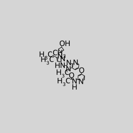 CC(=O)Nc1cc(Oc2cnc3nc(Nc4cc(C(C)(C)C)n([C@H]5C[C@@H](O)C5)n4)n(C)c3c2)ccn1